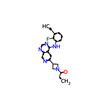 C#Cc1cccc(Nc2ncnc3cnc(C4CN(C(=O)C=C)C4)cc23)c1F